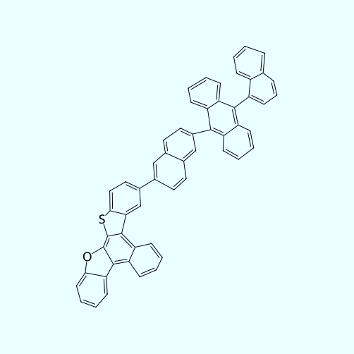 c1ccc2c(-c3c4ccccc4c(-c4ccc5cc(-c6ccc7sc8c9oc%10ccccc%10c9c9ccccc9c8c7c6)ccc5c4)c4ccccc34)cccc2c1